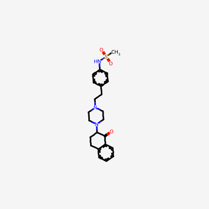 CS(=O)(=O)Nc1ccc(CCN2CCN(C3CCc4ccccc4C3=O)CC2)cc1